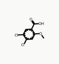 COc1cc(Cl)c(Cl)cc1C(=O)O